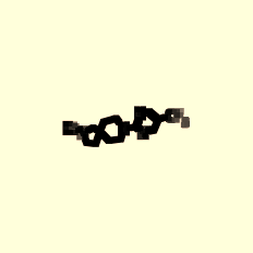 CCN1CCC2(CCN(c3ncc(C(F)(F)F)cn3)CC2)C1